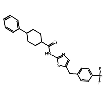 O=C(Nc1ncc(Cc2ccc(C(F)(F)F)cc2)s1)C1CCC(c2ccccc2)CC1